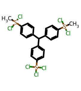 CS(Cl)(Cl)c1ccc(C(c2ccc(S(C)(Cl)Cl)cc2)c2ccc(S(Cl)(Cl)Cl)cc2)cc1